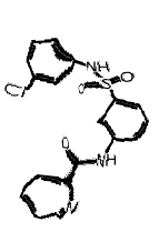 O=C(Nc1cccc(S(=O)(=O)Nc2cccc(Cl)c2)c1)c1ccccn1